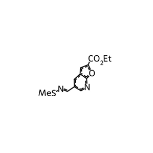 CCOC(=O)c1cc2cc(C=NSC)cnc2o1